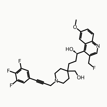 COc1ccc2ncc(CF)c([C@H](O)CCC3(CO)CCN(CC#Cc4cc(F)c(F)c(F)c4)CC3)c2c1